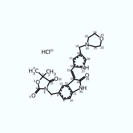 CC1(C)OC(=O)N(Cc2ccc3c(c2)C(=Cc2cc(CN4CCOCC4)c[nH]2)C(=O)N3)C1=O.Cl